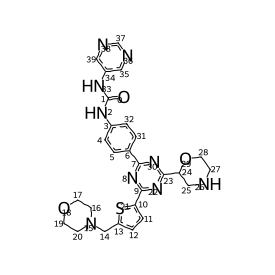 O=C(Nc1ccc(-c2nc(-c3ccc(CN4CCOCC4)s3)nc(C3CNCCO3)n2)cc1)Nc1cncnc1